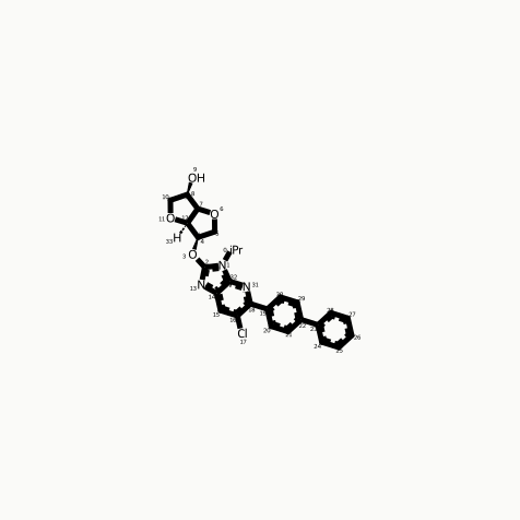 CC(C)n1c(O[C@@H]2COC3[C@H](O)CO[C@@H]32)nc2cc(Cl)c(-c3ccc(-c4ccccc4)cc3)nc21